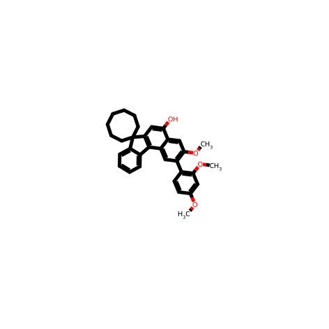 COc1ccc(-c2cc3c4c(cc(O)c3cc2OC)C2(CCCCCCC2)c2ccccc2-4)c(OC)c1